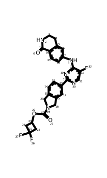 O=C1NCCc2cc(Nc3nc(-c4ccc5c(c4)CN(C(=O)OC4CC(F)(F)C4)C5)ncc3F)ccc21